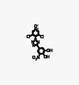 O=[N+]([O-])c1cc(-c2nnn(-c3c(Cl)c[n+]([O-])cc3Cl)n2)cc(O)c1O